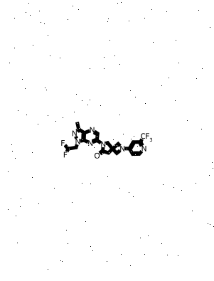 Cc1nn(CC(F)F)c2nc(N3CC4(CC3=O)CN(c3ccnc(C(F)(F)F)c3)C4)cnc12